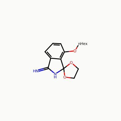 CCCCCCOc1cccc2c1C1(NC2=N)OCCO1